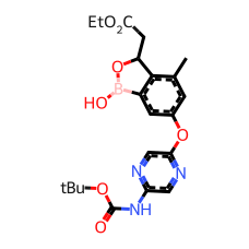 CCOC(=O)CC1OB(O)c2cc(Oc3cnc(NC(=O)OC(C)(C)C)cn3)cc(C)c21